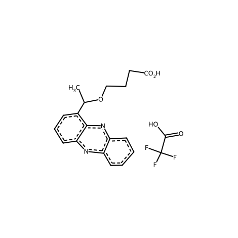 CC(OCCCC(=O)O)c1cccc2nc3ccccc3nc12.O=C(O)C(F)(F)F